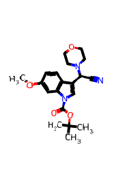 COc1ccc2c(C(C#N)N3CCOCC3)cn(C(=O)OC(C)(C)C)c2c1